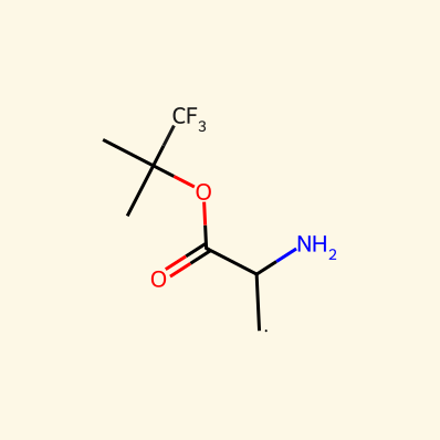 [CH2]C(N)C(=O)OC(C)(C)C(F)(F)F